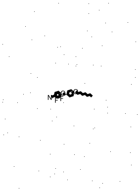 CCCCCCCO[C@H]1CC[C@H](COc2ccc(C#N)c(F)c2F)CC1